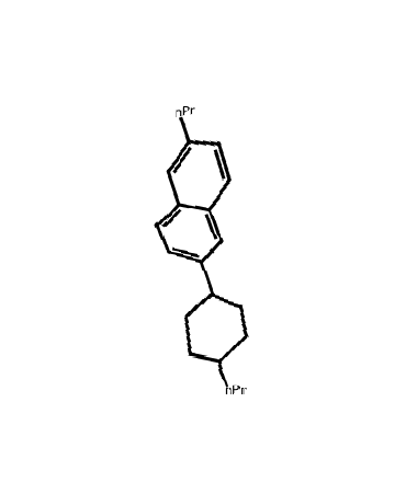 CCCc1ccc2cc(C3CCC(CCC)CC3)ccc2c1